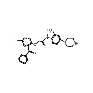 Cc1cc(N2CCNCC2)ccc1NC(=O)COc1ccc(Cl)cc1C(=O)c1ccccc1